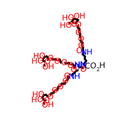 O=C(COCCOCCOCCO[C@H]1C[C@@H](O)[C@@H](O)[C@@H](CO)O1)NCCCCC(NC(=O)[C@H](CCCCNC(=O)COCCOCCOCCO[C@H]1C[C@@H](O)[C@@H](O)[C@@H](CO)O1)NC(=O)COCCOCCOCCO[C@H]1C[C@@H](O)[C@@H](O)[C@@H](CO)O1)C(=O)O